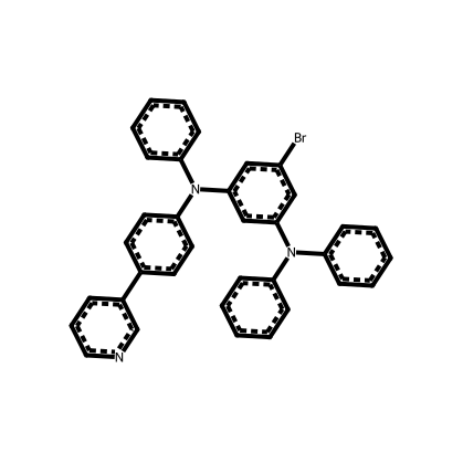 Brc1cc(N(c2ccccc2)c2ccccc2)cc(N(c2ccccc2)c2ccc(-c3cccnc3)cc2)c1